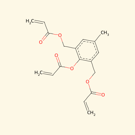 C=CC(=O)OCc1cc(C)cc(COC(=O)C=C)c1OC(=O)C=C